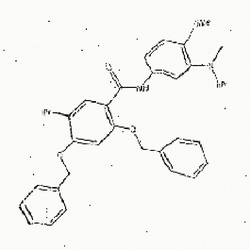 CCCN(C)c1cc(NC(=O)c2cc(C(C)C)c(OCc3ccccc3)cc2OCc2ccccc2)ccc1OC